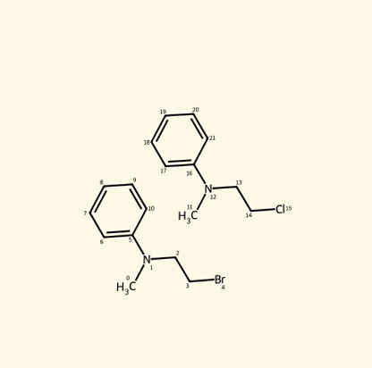 CN(CCBr)c1ccccc1.CN(CCCl)c1ccccc1